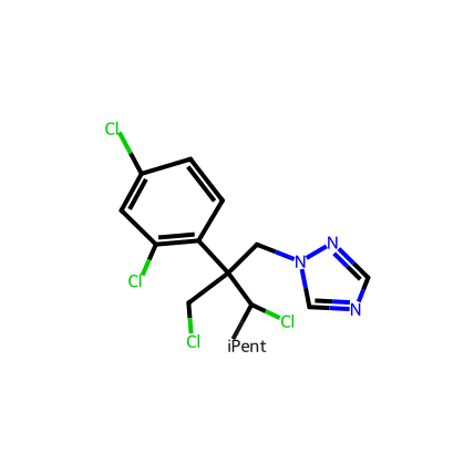 CCCC(C)C(Cl)C(CCl)(Cn1cncn1)c1ccc(Cl)cc1Cl